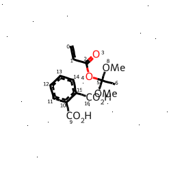 C=CC(=O)OC(C)(OC)OC.O=C(O)c1ccccc1C(=O)O